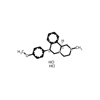 COc1ccc([C@@H]2CN3CCN(C)C[C@@H]3c3ccccc32)cc1.Cl.Cl